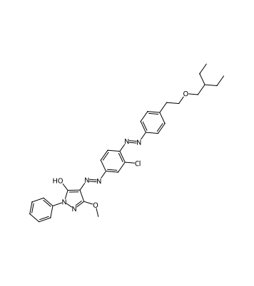 CCC(CC)COCCc1ccc(/N=N/c2ccc(/N=N/c3c(OC)nn(-c4ccccc4)c3O)cc2Cl)cc1